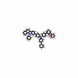 c1ccc(-c2ccc(N(c3ccc(-c4ccc5c6ccc7ccccc7c6n(-c6ccccc6)c5c4)cc3)c3ccc(-c4cccc5c4oc4ccccc45)cc3)cc2)cc1